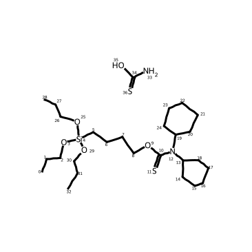 CCCO[Si](CCCCOC(=S)N(C1CCCCC1)C1CCCCC1)(OCCC)OCCC.NC(O)=S